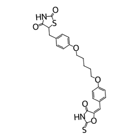 O=C1NC(=O)C(Cc2ccc(OCCCCCOc3ccc(C=C4OC(=S)NC4=O)cc3)cc2)S1